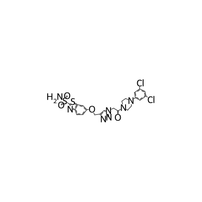 NS(=O)(=O)c1nc2ccc(OCc3cn(CC(=O)N4CCN(c5cc(Cl)cc(Cl)c5)CC4)nn3)cc2s1